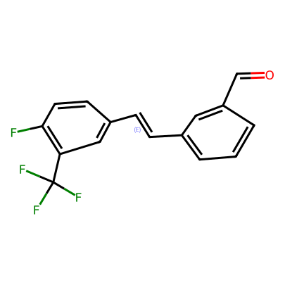 O=Cc1cccc(/C=C/c2ccc(F)c(C(F)(F)F)c2)c1